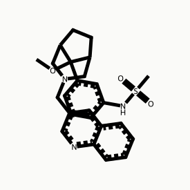 COC1(c2cccc(NS(C)(=O)=O)c2)C2CCC1CN(Cc1cnc3ccccc3c1)C2